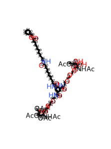 CC(=O)N[C@@H]1C(OCCOCCOCCNC(=O)c2cc(NC(=O)CCCCCCCCCCC(=O)NCCCCCCCCCCCC(=O)OCc3ccccc3)cc(C(=O)NCCOCCOCCOC3O[C@H](COC(C)=O)[C@H](OC(C)=O)[C@H](OC(C)=O)[C@H]3NC(C)=O)c2)O[C@@H](COC(C)=O)[C@@H](O)[C@H]1O